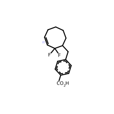 O=C(O)c1ccc(CC2CCCC/C=C\C2(F)F)cc1